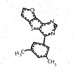 Cc1cc(C)cc(-c2ncnc3c2sc2ccoc23)c1